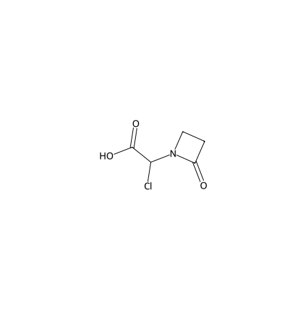 O=C(O)C(Cl)N1CCC1=O